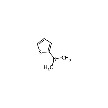 CN(C)c1c[c]cs1